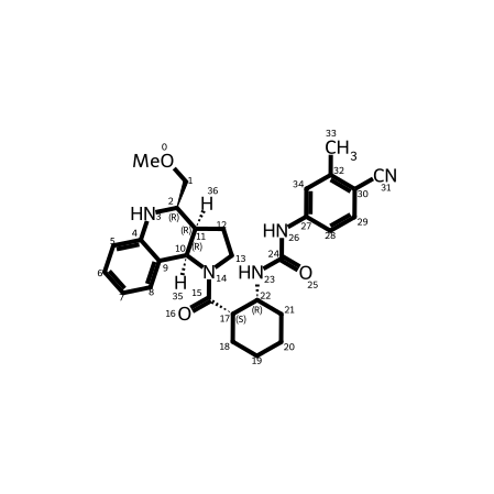 COC[C@@H]1Nc2ccccc2[C@H]2[C@@H]1CCN2C(=O)[C@H]1CCCC[C@H]1NC(=O)Nc1ccc(C#N)c(C)c1